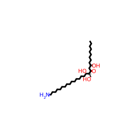 CCCCCCCCC[C@@H](O)CC(=O)[C@@H](CO)C(O)CCCCCCCCCCCCCCCN